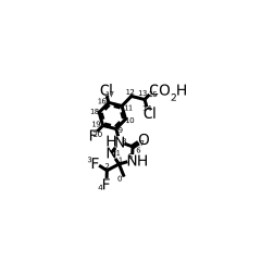 CC1(C(F)F)NC(=O)N(c2cc(CC(Cl)C(=O)O)c(Cl)cc2F)N1